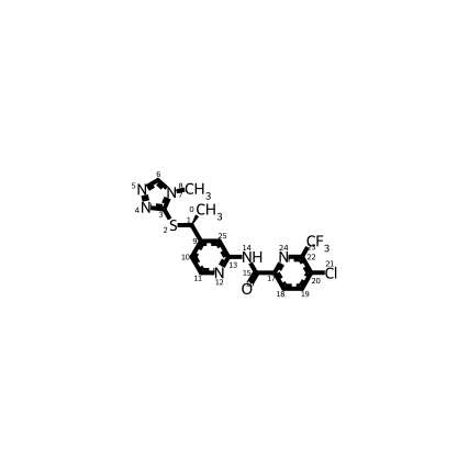 C[C@H](Sc1nncn1C)c1ccnc(NC(=O)c2ccc(Cl)c(C(F)(F)F)n2)c1